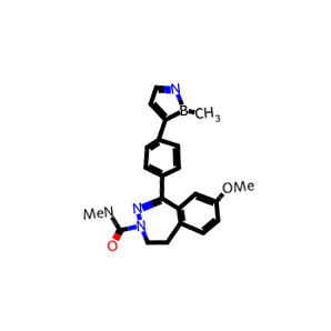 CNC(=O)N1CCc2ccc(OC)cc2C(c2ccc(C3=CC=NB3C)cc2)=N1